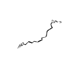 CCCCCC/C=C\C/C=C/CO